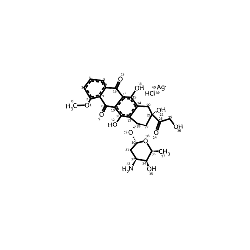 COc1cccc2c1C(=O)c1c(O)c3c(c(O)c1C2=O)C[C@@](O)(C(=O)CO)C[C@@H]3O[C@H]1C[C@H](N)[C@H](O)[C@H](C)O1.Cl.[Ag]